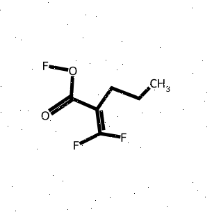 CCCC(C(=O)OF)=C(F)F